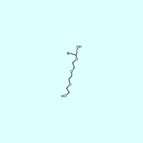 OCCOCCOCCOC(Br)CO